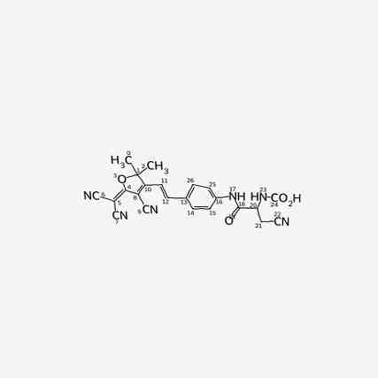 CC1(C)OC(=C(C#N)C#N)C(C#N)=C1C=Cc1ccc(NC(=O)C(CC#N)NC(=O)O)cc1